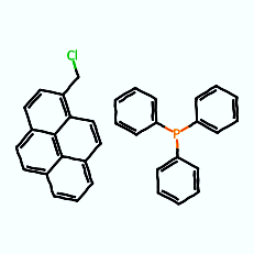 ClCc1ccc2ccc3cccc4ccc1c2c34.c1ccc(P(c2ccccc2)c2ccccc2)cc1